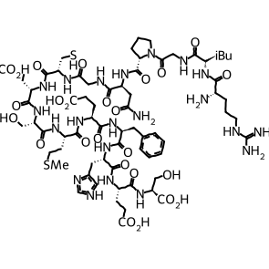 CC[C@H](C)[C@H](NC(=O)[C@@H](N)CCCNC(=N)N)C(=O)NCC(=O)N1CCC[C@H]1C(=O)N[C@@H](CC(N)=O)C(=O)NCC(=O)N[C@@H](CS)C(=O)N[C@@H](CC(=O)O)C(=O)N[C@@H](CO)C(=O)N[C@@H](CCSC)C(=O)N[C@@H](CCC(=O)O)C(=O)N[C@@H](Cc1ccccc1)C(=O)N[C@@H](Cc1c[nH]cn1)C(=O)N[C@@H](CCC(=O)O)C(=O)N[C@@H](CO)C(=O)O